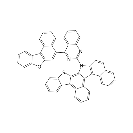 c1ccc2c(c1)ccc1c2c2c3ccccc3c3c4ccccc4sc3c2n1-c1nc(-c2cc3oc4ccccc4c3c3ccccc23)c2ccccc2n1